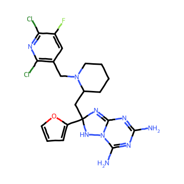 NC1=NC2=NC(CC3CCCCN3Cc3cc(F)c(Cl)nc3Cl)(c3ccco3)NN2C(N)=N1